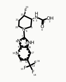 O=C(O)N[C@@H]1CN(c2nc3ncc(C(F)(F)F)cc3[nH]2)CC[C@H]1F